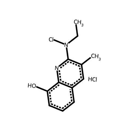 CCN(Cl)c1nc2c(O)cccc2cc1C.Cl